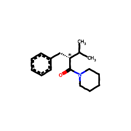 CC(C)[C@@H](Cc1ccccc1)C(=O)N1CCCCC1